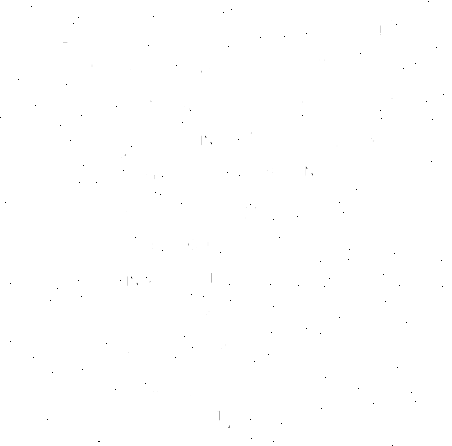 CN(C(=O)CNC(=O)c1cc(F)ccc1OCC(=O)Nc1ccc(I)cc1F)c1ccc(F)cc1